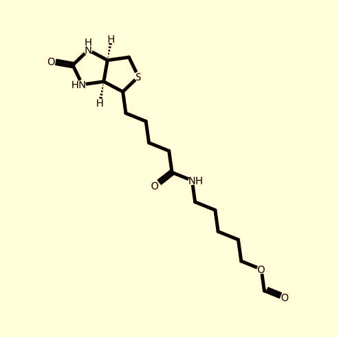 O=COCCCCCNC(=O)CCCCC1SC[C@@H]2NC(=O)N[C@H]12